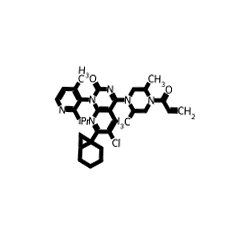 C=CC(=O)N1CC(C)N(c2nc(=O)n(-c3c(C)ccnc3C(C)C)c3nc(C45CCCCC4C5)c(Cl)cc23)CC1C